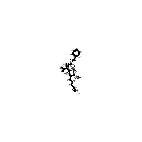 CC(C)C(NC(=O)OCc1ccccc1)C(=O)NC(CCCCN)C(=O)O